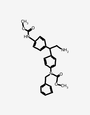 COC(=O)Nc1ccc(C(CN)c2ccc(N(Cc3ccccc3)C(=O)OC)cc2)cc1